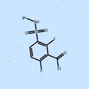 CCC(=O)c1c(F)ccc(S(=O)(=O)NC(C)C)c1F